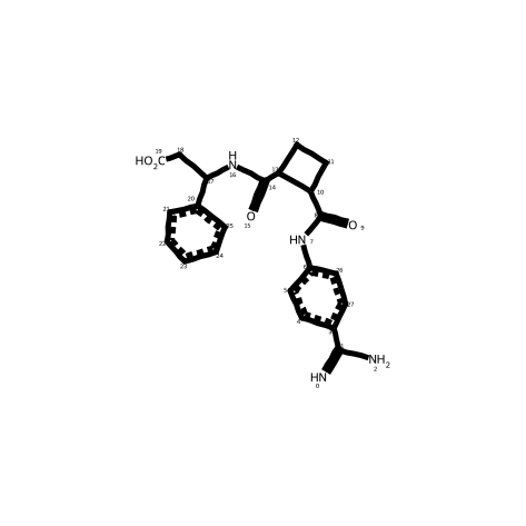 N=C(N)c1ccc(NC(=O)C2CCC2C(=O)NC(CC(=O)O)c2ccccc2)cc1